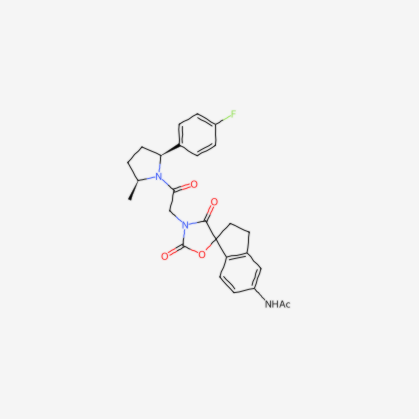 CC(=O)Nc1ccc2c(c1)CCC21OC(=O)N(CC(=O)N2[C@@H](C)CC[C@H]2c2ccc(F)cc2)C1=O